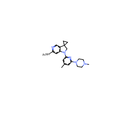 CC(=O)Nc1cc2c(cn1)C1(CC1)CN2c1cc(C)cc(N2CCN(C)CC2)n1